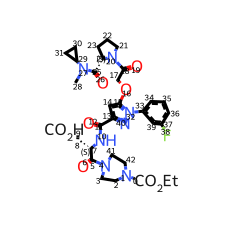 CCOC(=O)N1CCN(C(=O)[C@H](CC(=O)O)NC(=O)c2cc(OCC(=O)N3CCC[C@H]3C(=O)N(C)C3CC3)n(-c3cccc(F)c3)n2)CC1